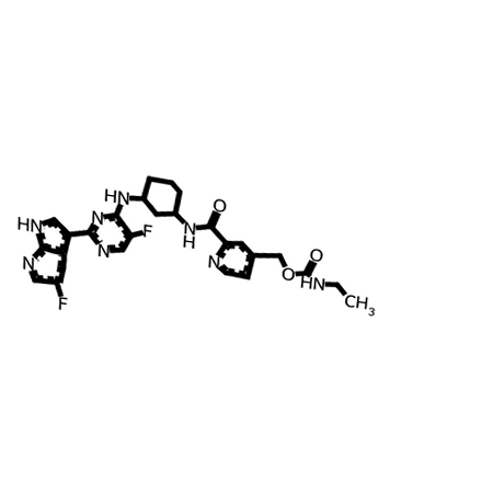 CCNC(=O)OCc1ccnc(C(=O)NC2CCCC(Nc3nc(-c4c[nH]c5ncc(F)cc45)ncc3F)C2)c1